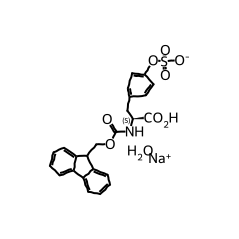 O.O=C(N[C@@H](Cc1ccc(OS(=O)(=O)[O-])cc1)C(=O)O)OCC1c2ccccc2-c2ccccc21.[Na+]